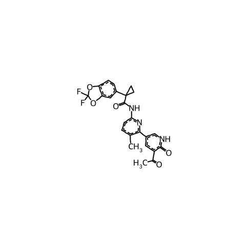 CC(=O)c1cc(-c2nc(NC(=O)C3(c4ccc5c(c4)OC(F)(F)O5)CC3)ccc2C)c[nH]c1=O